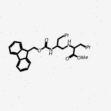 COC(=O)C(CC(C)C)NCC(CC(C)C)NC(=O)OCC1c2ccccc2-c2ccccc21